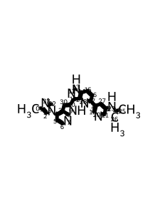 Cc1cn(-c2ccnc3[nH]c(-c4n[nH]c5ccc(-c6cncc(NC(C)C)c6)nc45)cc23)cn1